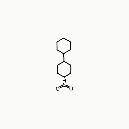 O=[SH](=O)C1CCC(C2CCCCC2)CC1